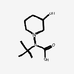 CC(C)(C)N(C(=O)O)N1CCCC(O)C1